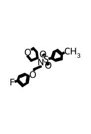 Cc1ccc(S(=O)(=O)N(CCOc2ccc(F)cc2)C2CCOCC2)cc1